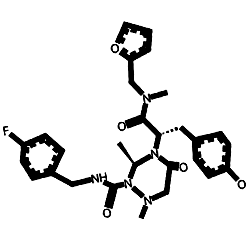 C[C@H]1N([C@@H](Cc2ccc(O)cc2)C(=O)N(C)Cc2ccco2)C(=O)CN(C)N1C(=O)NCc1ccc(F)cc1